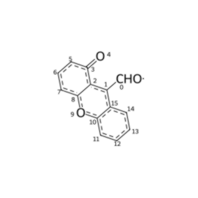 O=[C]c1c2c(=O)cccc-2oc2ccccc12